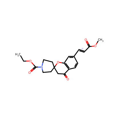 CCOC(=O)N1CCC2(CC1)CC(=O)c1ccc(/C=C/C(=O)OC)cc1O2